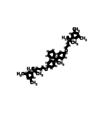 Cc1cc(C)cc([Si](C)(C)CCCOc2ccc(C(C)(c3ccccc3)c3ccc(OCCC[Si](C)(C)c4cc(C)cc(C)c4)cc3)cc2)c1